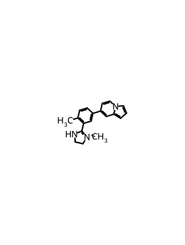 Cc1ccc(-c2ccn3cccc3c2)cc1C1=[N+](C)CCN1